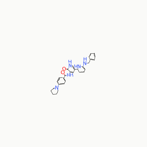 O=C(Nc1cc(C2C=CC=C(NCc3ccccc3)N2)c[nH]c1=O)c1ccc(N2CCCCC2)cc1